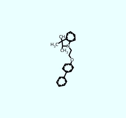 CC1N(CCOc2ccc(-c3ccccc3)cc2)c2ccccc2C1(C)C